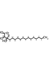 CCCCCCCCCCCCCCC(O)(P=O)C(O)CO